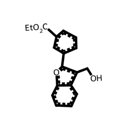 CCOC(=O)c1cccc(-c2oc3ccccc3c2CO)c1